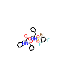 O=C(N[C@H](Cc1ccccc1)C(=O)OC[C@H](Cc1ccccc1)NS(=O)(=O)c1c(F)cc(F)cc1Br)c1ccccc1